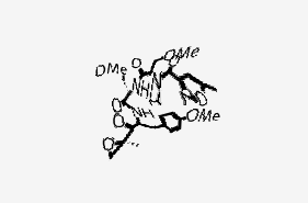 COCC(NC(=O)c1cc(C)on1)C(=O)N[C@@H](COC)C(=O)NC(Cc1ccc(OC)cc1)C(=O)[C@@]1(C)CO1